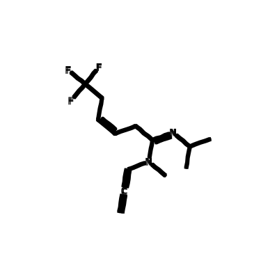 C=C=CN(C)/C(C/C=C\CC(F)(F)F)=N\C(C)C